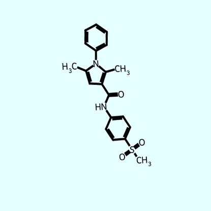 Cc1cc(C(=O)Nc2ccc(S(C)(=O)=O)cc2)c(C)n1-c1ccccc1